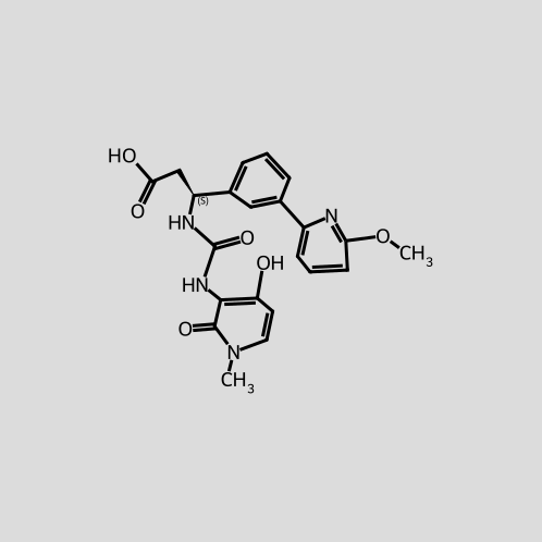 COc1cccc(-c2cccc([C@H](CC(=O)O)NC(=O)Nc3c(O)ccn(C)c3=O)c2)n1